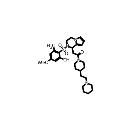 COc1cc(C)c(S(=O)(=O)N2CCn3cccc3C2CC(=O)N2CCC(CCN3CCCCC3)CC2)c(C)c1